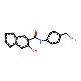 NCc1ccc(NC(=O)c2cc3ccccc3cc2O)cc1